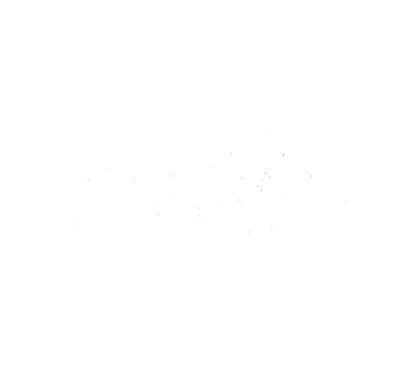 CCOC(=O)C1(c2cnc(Nc3ccc(F)c(Cl)c3)nc2-n2nc(-c3nccs3)cc2C)C=NC=CC1